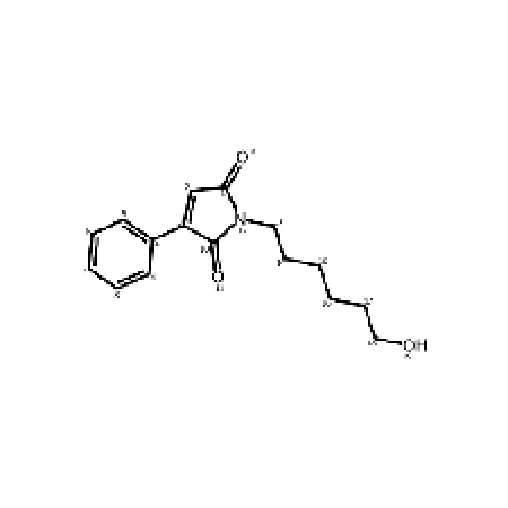 O=C1C=C(c2ccccc2)C(=O)N1CCCCCCO